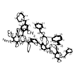 CCCCCC(C(=O)NCNC(=O)c1ccc(-c2ccc(C(=O)NC(CC(=O)OCc3ccccc3)C(=O)OCc3ccccc3)c(OCC(=O)OCc3ccccc3)c2)o1)C(CC)N(C=O)OC(=O)c1ccc(CN2CCOCC2)cc1C